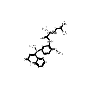 COc1ccc(N(C)c2cc(=O)oc3ccccc23)cc1NC(=O)[C@H](C)NCC(C)C